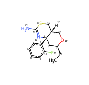 CC[C@H]1C[C@]2(c3ccccc3F)N=C(N)SC[C@@H]2CO1